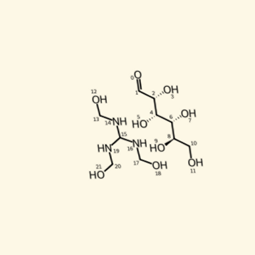 O=C[C@H](O)[C@@H](O)[C@H](O)[C@H](O)CO.OCNC(NCO)NCO